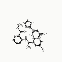 COC(=O)c1ccccc1NC(C)c1cc(C)cc2c(=O)cc(-c3cccs3)oc12